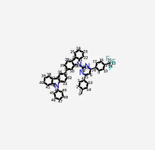 Cc1ccc(-c2cc(-c3ccc(C(F)(F)F)cc3)nc(-n3c4ccccc4c4ccc(-c5ccc6c(c5)c5ccccc5n6-c5ccccc5)cc43)n2)cc1